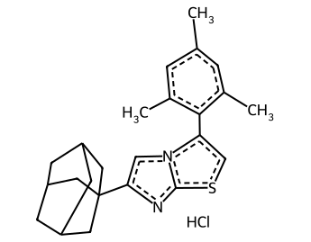 Cc1cc(C)c(-c2csc3nc(C45CC6CC(CC(C6)C4)C5)cn23)c(C)c1.Cl